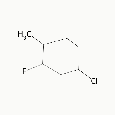 CC1CCC(Cl)CC1F